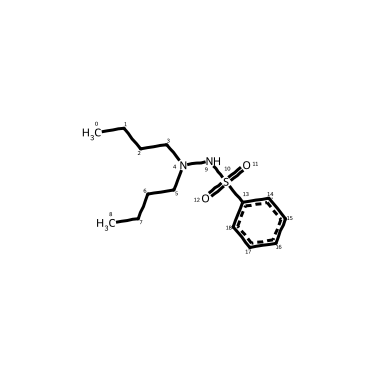 CCCCN(CCCC)NS(=O)(=O)c1[c]cccc1